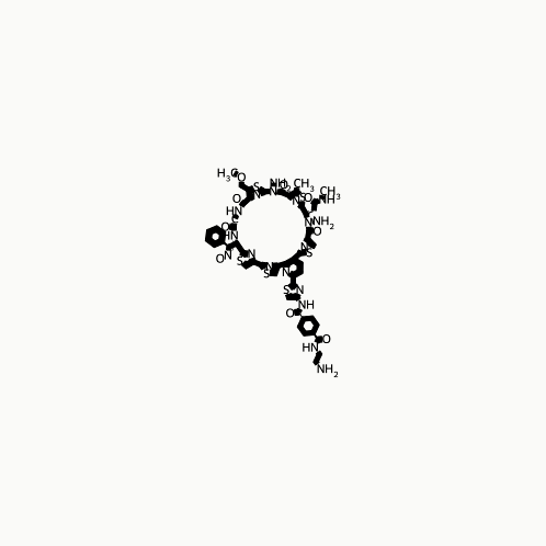 CNC(=O)C[C@H]1c2nc(c(C)s2)C(=O)N(N)c2nc(c(COC)s2)C(=O)NCC(=O)N[C@@H]([C@@H](N=O)c2ccccc2)c2nc(cs2)-c2nc(cs2)-c2nc(-c3nc(NC(=O)[C@H]4CC[C@H](C(=O)NCCN)CC4)cs3)ccc2-c2nc(cs2)C(=O)N1N